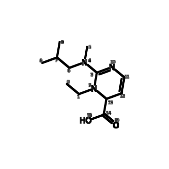 CCN1C(N(C)CC(C)C)=NC=CC1C(=O)O